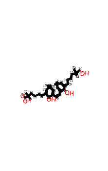 CC1(C)C=C(/C=C\C2=CC(C)(C)C=C(CCCCC(C)(C)C(=O)O)C2O)C(O)C(CCCCC(C)(C)CO)=C1